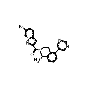 CC1c2cccc(-c3cncnc3)c2CCN1C(=O)c1cc2ccc(Br)cn2n1